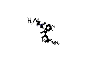 Cc1c(-c2cncc(SN)c2)c2cc(Cl)ccc2n1C/C(F)=C/CN